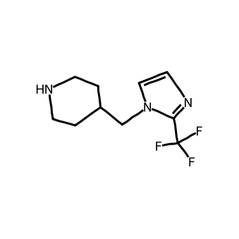 FC(F)(F)c1nccn1CC1CCNCC1